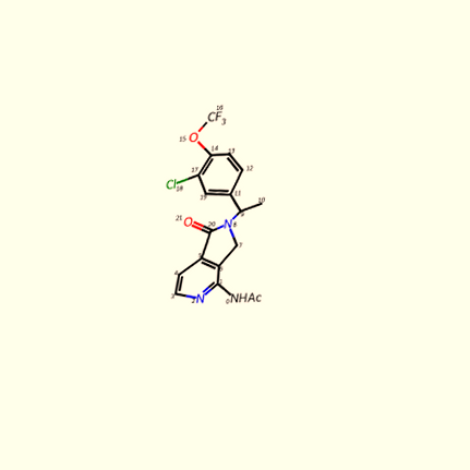 CC(=O)Nc1nccc2c1CN(C(C)c1ccc(OC(F)(F)F)c(Cl)c1)C2=O